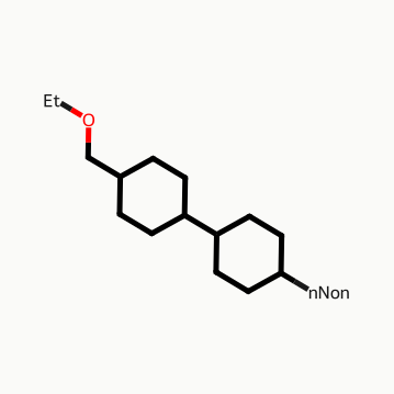 CCCCCCCCCC1CCC(C2CCC(COCC)CC2)CC1